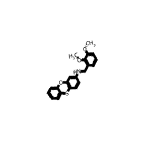 COc1cccc(CNc2ccc3c(c2)Oc2ccccc2S3)c1OC